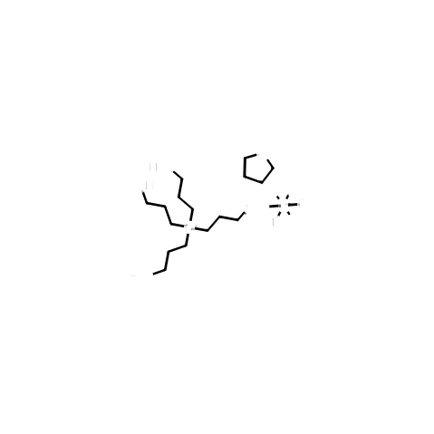 C1CCOC1.CCCC[N+](CCCC)(CCCC)CCCC.F[P-](F)(F)(F)(F)F